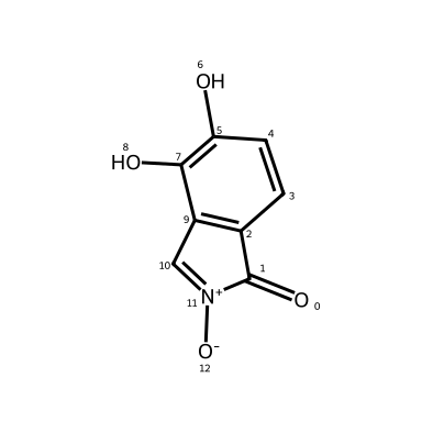 O=C1c2ccc(O)c(O)c2C=[N+]1[O-]